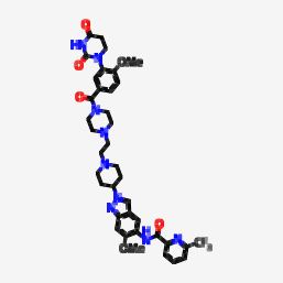 COc1cc2nn(C3CCN(CCN4CCN(C(=O)c5ccc(OC)c(N6CCC(=O)NC6=O)c5)CC4)CC3)cc2cc1NC(=O)c1cccc(C(F)(F)F)n1